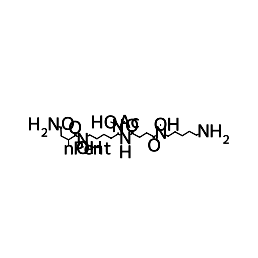 CCCCCC(CC(N)=O)C(=O)N(O)CCCCC(NC(=O)CCC(=O)N(O)CCCCCN)N(O)C(C)=O